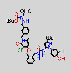 Cc1cc(OCc2ccccc2CNC(=O)Nc2cc(C(C)(C)C)nn2-c2ccc(O)c(Cl)c2)c(Cl)c(=O)n1Cc1cccc(CNN(CC=O)C(=O)OC(C)(C)C)c1